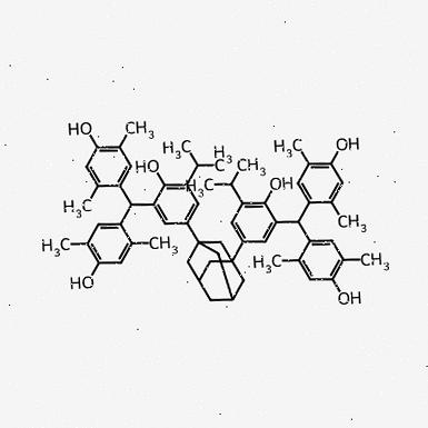 Cc1cc(C(c2cc(C)c(O)cc2C)c2cc(C34CC5CC(C3)CC(c3cc(C(C)C)c(O)c(C(c6cc(C)c(O)cc6C)c6cc(C)c(O)cc6C)c3)(C5)C4)cc(C(C)C)c2O)c(C)cc1O